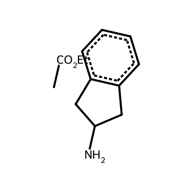 CCOC(C)=O.NC1Cc2ccccc2C1